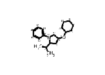 CC(C)C1CC(OC2CCCCC2)CN1c1ccccc1